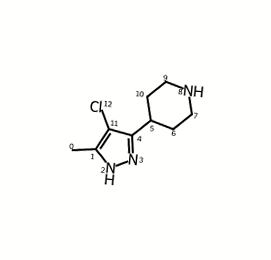 Cc1[nH]nc(C2CCNCC2)c1Cl